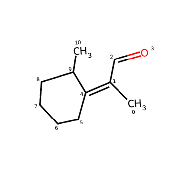 CC(C=O)=C1CCCCC1C